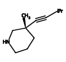 CC(C)C#C[C@]1(C)CCCNC1